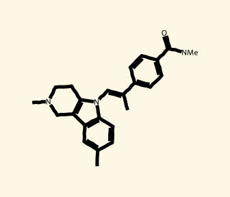 CNC(=O)c1ccc(C(C)=Cn2c3c(c4cc(C)ccc42)CN(C)CC3)cc1